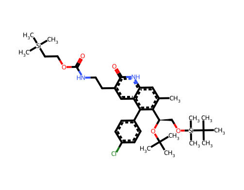 Cc1cc2[nH]c(=O)c(CCNC(=O)OCC[Si](C)(C)C)cc2c(-c2ccc(Cl)cc2)c1[C@@H](CO[Si](C)(C)C(C)(C)C)OC(C)(C)C